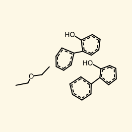 CCOCC.Oc1ccccc1-c1ccccc1.Oc1ccccc1-c1ccccc1